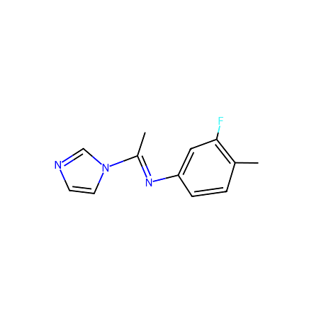 C/C(=N\c1ccc(C)c(F)c1)n1ccnc1